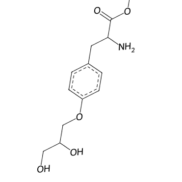 COC(=O)C(N)Cc1ccc(OCC(O)CO)cc1